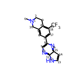 CN1CCc2c(cc(-c3cnc4[nH]ccc4n3)cc2C(F)(F)F)C1